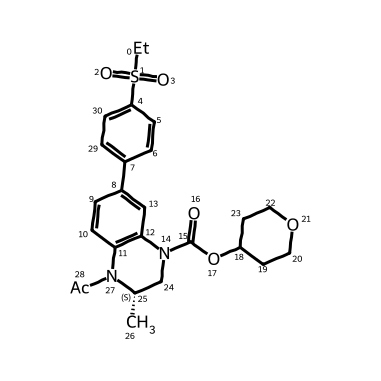 CCS(=O)(=O)c1ccc(-c2ccc3c(c2)N(C(=O)OC2CCOCC2)C[C@H](C)N3C(C)=O)cc1